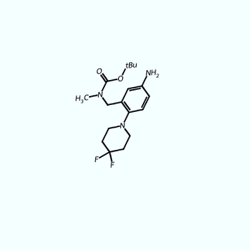 CN(Cc1cc(N)ccc1N1CCC(F)(F)CC1)C(=O)OC(C)(C)C